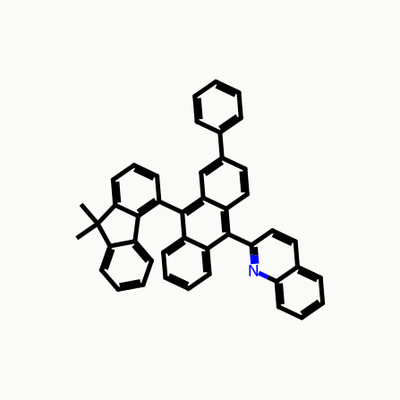 CC1(C)c2ccccc2-c2c(-c3c4ccccc4c(-c4ccc5ccccc5n4)c4ccc(-c5ccccc5)cc34)cccc21